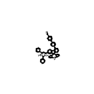 N#Cc1ccc(-c2ccc(-c3cccc4c3-c3ccc(C5C=C(c6ccccc6)NC(c6ccccc6)N5)cc3C43c4ccccc4Sc4ccccc43)cc2)cc1